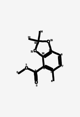 COC(=O)c1c(C)ccc2c1OC(C)(C)O2